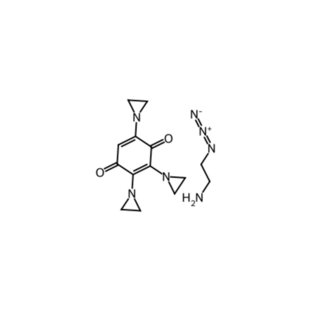 O=C1C=C(N2CC2)C(=O)C(N2CC2)=C1N1CC1.[N-]=[N+]=NCCN